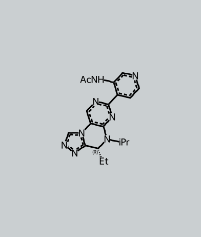 CC[C@@H]1c2nncn2-c2cnc(-c3ccncc3NC(C)=O)nc2N1C(C)C